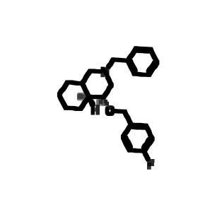 Fc1ccc(CO[C@H]2CN(Cc3ccccc3)CC3CCCC[C@H]32)cc1